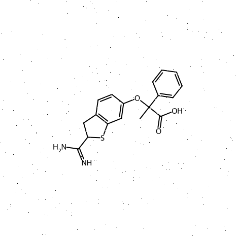 CC(Oc1ccc2c(c1)SC(C(=N)N)C2)(C(=O)O)c1ccccc1